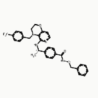 C[C@H](Nc1nccc2c1N(Cc1ccc(C(F)(F)F)cc1)CCO2)c1ccc(C(=O)NOCc2ccccc2)cc1